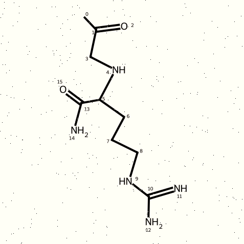 CC(=O)CNC(CCCNC(=N)N)C(N)=O